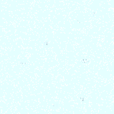 COc1ccc2ncc(Cl)c(CCC[C@H]3CCN(CC#Cc4ccc(F)s4)C[C@H]3C(=O)O)c2c1